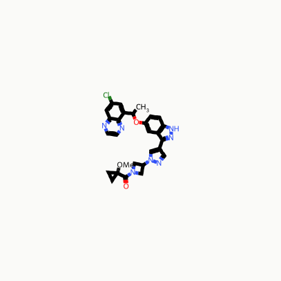 COC1(C(=O)N2CC(n3cc(-c4n[nH]c5ccc(OC(C)c6cc(Cl)cc7nccnc67)cc45)cn3)C2)CC1